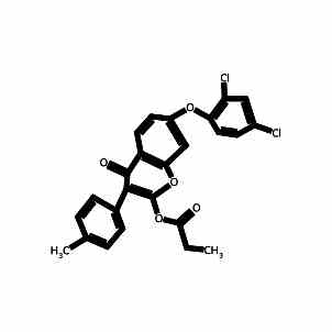 CCC(=O)Oc1oc2cc(Oc3ccc(Cl)cc3Cl)ccc2c(=O)c1-c1ccc(C)cc1